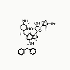 CC(C)c1nnc([C@H]2O[C@@H](n3cnc4c(NCC(c5ccccc5)c5ccccc5)nc(NC5CCC(N)CC5)nc43)[C@H](O)[C@@H]2O)[nH]1